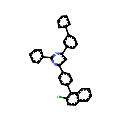 Clc1ccc2ccccc2c1-c1ccc(-c2cc(-c3cccc(-c4ccccc4)c3)nc(-c3ccccc3)n2)cc1